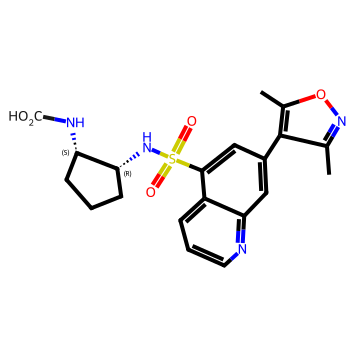 Cc1noc(C)c1-c1cc(S(=O)(=O)N[C@@H]2CCC[C@@H]2NC(=O)O)c2cccnc2c1